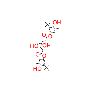 Cc1cc(OC(=O)CCC(O)(CO)CCC(=O)Oc2cc(C)c(O)c(C(C)(C)C)c2)cc(C(C)(C)C)c1O